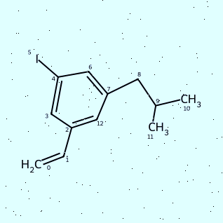 C=[C]c1cc(I)cc(CC(C)C)c1